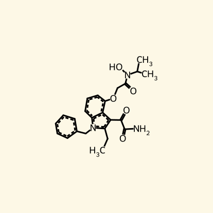 CCc1c(C(=O)C(N)=O)c2c(OCC(=O)N(O)C(C)C)cccc2n1Cc1ccccc1